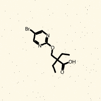 CCC(CC)(COc1ncc(Br)cn1)C(=O)O